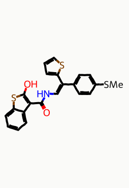 CSc1ccc(C(=CNC(=O)c2c(O)sc3ccccc23)c2cccs2)cc1